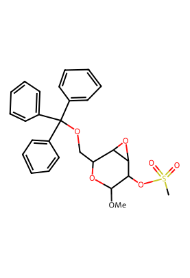 COC1OC(COC(c2ccccc2)(c2ccccc2)c2ccccc2)C2OC2C1OS(C)(=O)=O